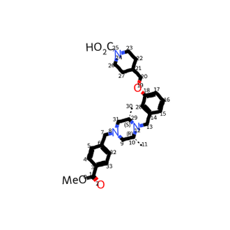 COC(=O)c1ccc(CN2C[C@@H](C)N(Cc3cccc(OCC4CCN(C(=O)O)CC4)c3)[C@@H](C)C2)cc1